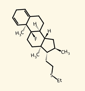 CCSCC[C@H]1[C@H](C)C[C@H]2[C@@H]3CCC4=CCC=C[C@]4(C)[C@@]3(F)CC[C@]12C